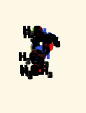 CO[C@@H](C)c1ncc(N2CCN(C3CC3)CC2)cc1-c1c2c3cc(ccc3n1CC(F)(F)F)-c1csc(n1)C[C@H](NC(=O)[C@H](C(C)C)N1CC[C@]3(CCN(C(=O)OC(C)(C)C)C3)C1)C(=O)N1CCC[C@H](N1)C(=O)OCC(C)(C)C2